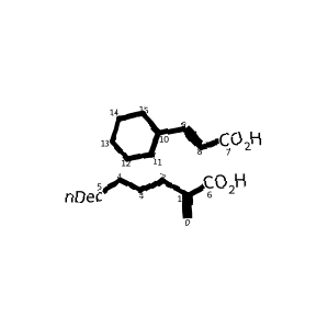 C=C(CCCCCCCCCCCCC)C(=O)O.O=C(O)C=CC1CCCCC1